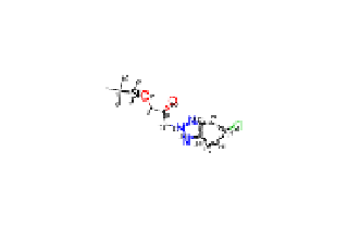 CC(C)(C)[Si](C)(C)OCC(=O)Cn1nc2ccc(Cl)cc2n1